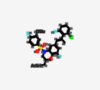 COc1cc(S(=O)(=O)N2C[C@H](CNC(C)=O)Oc3c(F)cc(C=C(C)c4c(F)cccc4Cl)cc32)ccc1F